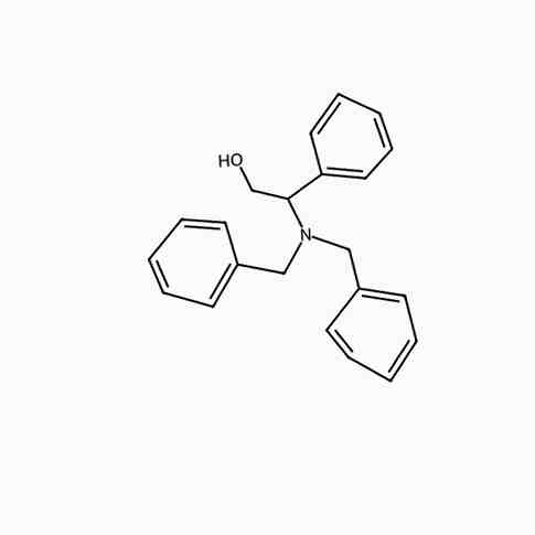 OCC(c1ccccc1)N(Cc1ccccc1)Cc1ccccc1